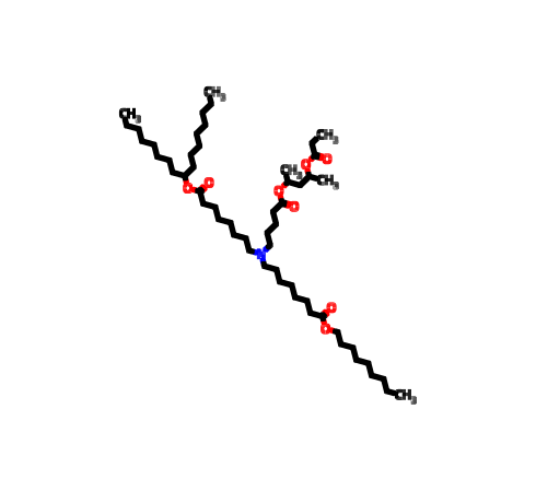 CCCCCCCCCOC(=O)CCCCCCCN(CCCCCCCC(=O)OC(CCCCCCCC)CCCCCCCC)CCCCC(=O)OC(C)CC(C)OC(=O)CC